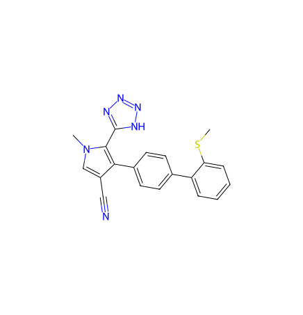 CSc1ccccc1-c1ccc(-c2c(C#N)cn(C)c2-c2nnn[nH]2)cc1